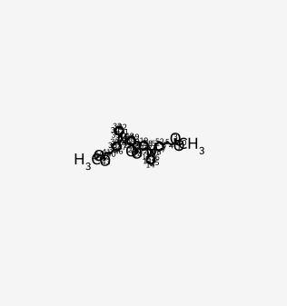 COC(=O)CCc1ccc(N(c2ccccc2)c2ccc3c(c2)S(=O)(=O)c2cc(N(c4ccccc4)c4ccc(CCC(=O)OC)cc4)ccc2-3)cc1